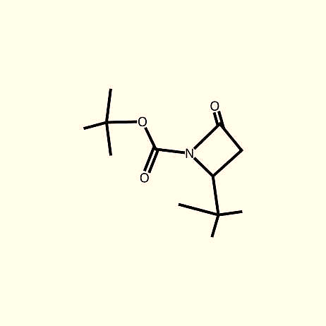 CC(C)(C)OC(=O)N1C(=O)CC1C(C)(C)C